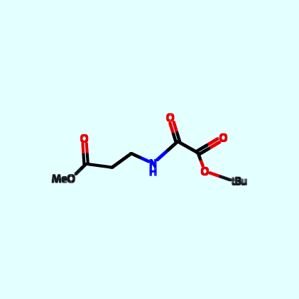 COC(=O)CCNC(=O)C(=O)OC(C)(C)C